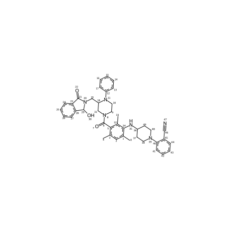 Cc1cc(C)c(C(=O)N2CCN(c3ccccc3)C(CN3C(=O)c4ccccc4C3O)C2)c(C)c1NC1CCN(c2ccccc2C#N)CC1